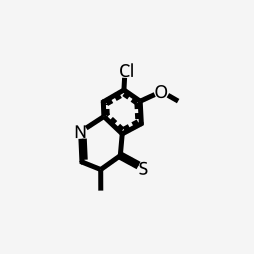 COc1cc2c(cc1Cl)N=CC(C)C2=S